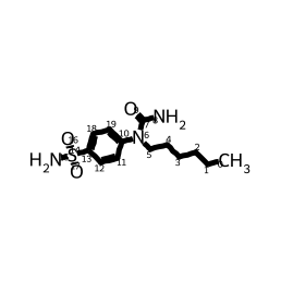 CCCCCCN(C(N)=O)c1ccc(S(N)(=O)=O)cc1